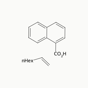 C=CCCCCCC.O=C(O)c1cccc2ccccc12